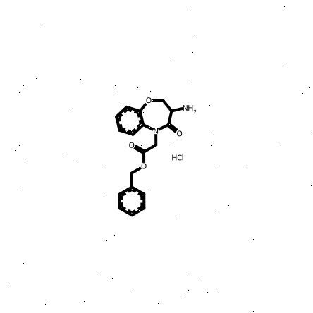 Cl.NC1COc2ccccc2N(CC(=O)OCc2ccccc2)C1=O